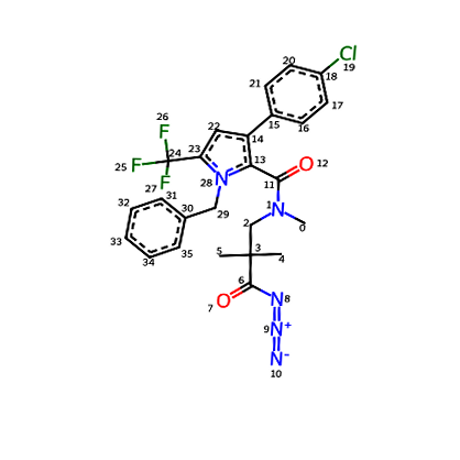 CN(CC(C)(C)C(=O)N=[N+]=[N-])C(=O)c1c(-c2ccc(Cl)cc2)cc(C(F)(F)F)n1Cc1ccccc1